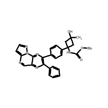 CC1(O)CC(NC(=O)OC(C)(C)C)(c2ccc(-c3nc4c(cnc5ccnn54)nc3-c3ccccc3)cc2)C1